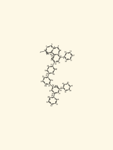 Cc1ccc2ccc3c(-c4ccccc4)cc(-c4ccc(-c5cccc(-c6cc(-c7ccccc7)cc(-c7ccccc7)n6)c5)cc4)nc3c2n1